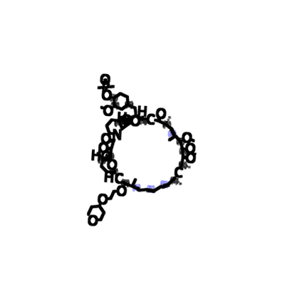 CO[C@@H]1/C(C)=C/[C@@H](C)C(=O)C[C@@H]2OC(=O)C3[C@H](CCCN3C(=O)C(=O)[C@]3(O)O[C@@H](CC[C@H]3C)C[C@@H](OCCOC3CCOCC3)/C(C)=C/C=C/C=C/[C@@H](C)C[C@@H](C)C(=O)[C@@H]1OC)C2C[C@@H]1CC[C@@H](OP(C)(C)=O)[C@H](OC)C1